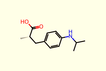 CC(C)Nc1ccc(C[C@H](C)C(=O)O)cc1